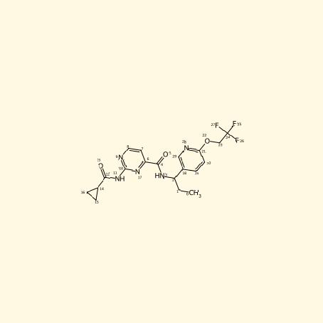 CCC(NC(=O)c1ccnc(NC(=O)C2CC2)n1)c1ccc(OCC(F)(F)F)nc1